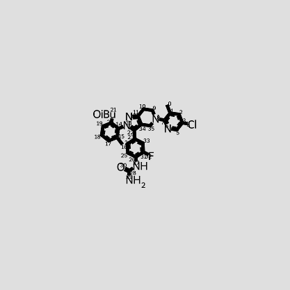 Cc1cc(Cl)cnc1N1CCc2nn(-c3c(C)cccc3OCC(C)C)c(-c3ccc(NC(N)=O)c(F)c3)c2C1